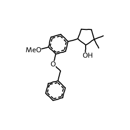 COc1ccc(C2CCC(C)(C)C2O)cc1OCc1ccccc1